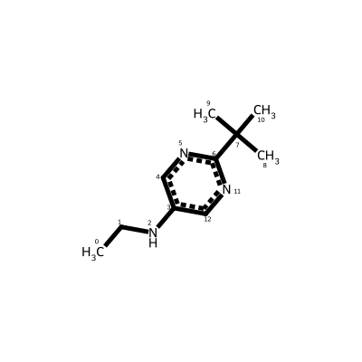 CCNc1cnc(C(C)(C)C)nc1